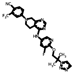 CC(C)(COc1ncc(Nc2ncnc3c2CCN(c2ccc(C#N)c(C(F)(F)F)c2)C3)cc1F)n1ccnn1